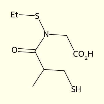 CCSN(CC(=O)O)C(=O)C(C)CS